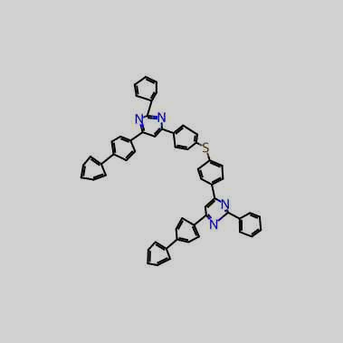 c1ccc(-c2ccc(-c3cc(-c4ccc(Sc5ccc(-c6cc(-c7ccc(-c8ccccc8)cc7)nc(-c7ccccc7)n6)cc5)cc4)nc(-c4ccccc4)n3)cc2)cc1